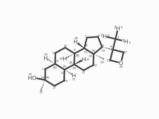 [2H]C([2H])([2H])C1([C@H]2CC[C@H]3[C@@H]4CC[C@@H]5C[C@](C)(O)CC[C@@H]5[C@H]4CC[C@]23C)COC1